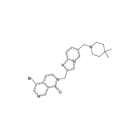 CC1(C)CCN(Cc2ccc3nc(Cn4ccc5c(Br)cncc5c4=O)cn3c2)CC1